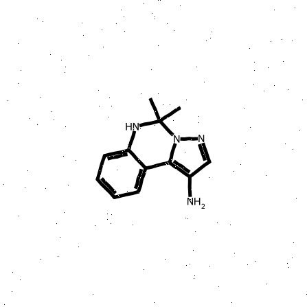 CC1(C)Nc2ccccc2-c2c(N)cnn21